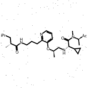 CC(=O)[C@@H](C)N(C)C(=O)[C@@H](NC[C@@H](C)Oc1cccnc1CCCNC(=O)[C@H](C)CC(C)C)C1CC1